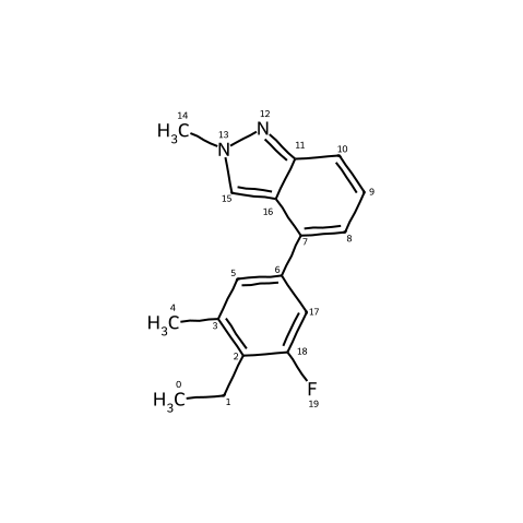 CCc1c(C)cc(-c2cccc3nn(C)cc23)cc1F